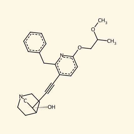 COC(C)COc1ccc(C#C[C@]2(O)CN3CCC2CC3)c(Cc2ccccc2)n1